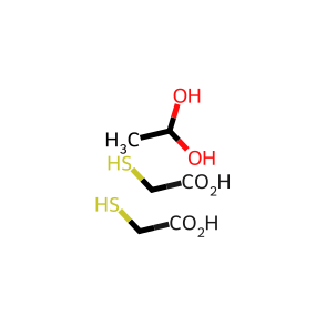 CC(O)O.O=C(O)CS.O=C(O)CS